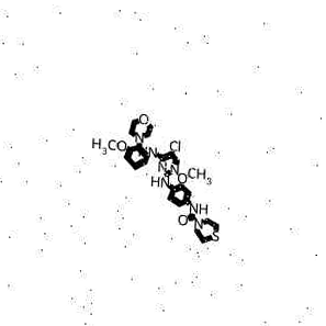 COc1cc(NC(=O)N2CCSCC2)ccc1Nc1ncc(Cl)c(Nc2cccc(OC)c2N2CCOCC2)n1